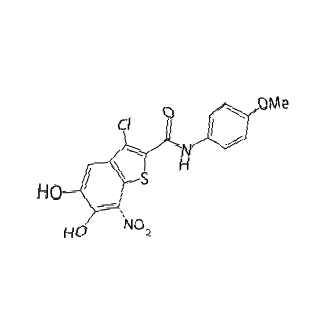 COc1ccc(NC(=O)c2sc3c([N+](=O)[O-])c(O)c(O)cc3c2Cl)cc1